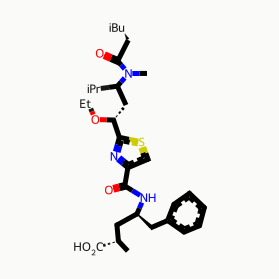 CCO[C@H](CC(C(C)C)N(C)C(=O)C[C@@H](C)CC)c1nc(C(=O)N[C@@H](Cc2ccccc2)C[C@H](C)C(=O)O)cs1